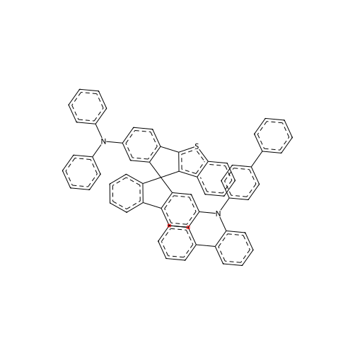 c1ccc(-c2ccc(N(c3ccc4c(c3)C3(c5ccccc5-4)c4cc(N(c5ccccc5)c5ccccc5)ccc4-c4sc5ccccc5c43)c3ccccc3-c3ccccc3)cc2)cc1